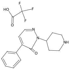 O=C(O)C(F)(F)F.O=c1c(-c2ccccc2)ccnn1C1CCNCC1